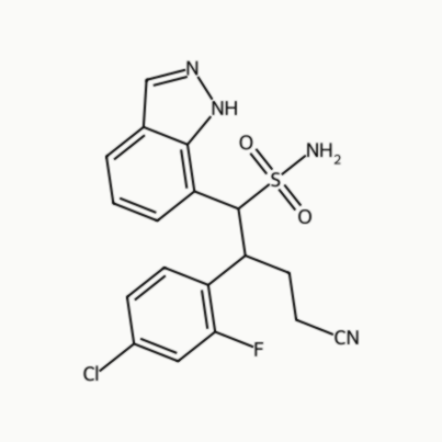 N#CCCC(c1ccc(Cl)cc1F)C(c1cccc2cn[nH]c12)S(N)(=O)=O